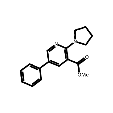 COC(=O)c1cc(-c2ccccc2)cnc1N1CCCC1